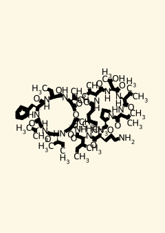 C/C=C1\NC(=O)[C@H](Cc2ccccc2)NC(=O)[C@@H](C(C)C)NC(=O)[C@@H](C(C)CC)NC(=O)[C@H](NC(=O)[C@H](NC(=O)[C@H](CCCN)NC(=O)[C@H]2CCCN2C(=O)[C@H](NC(=O)[C@@H](NC(=O)[C@@H](NC(=O)[C@H](NC(=O)CCC(C)CC)C(C)C)C(C)O)C(C)C)C(C)C)C(C)CC)C(C)OC(=O)[C@H](C(C)C)NC1=O